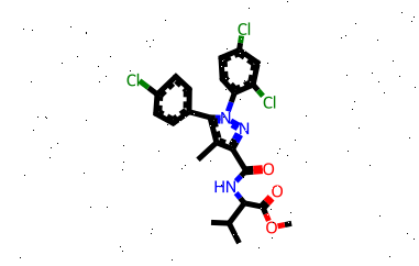 COC(=O)C(NC(=O)c1nn(-c2ccc(Cl)cc2Cl)c(-c2ccc(Cl)cc2)c1C)C(C)C